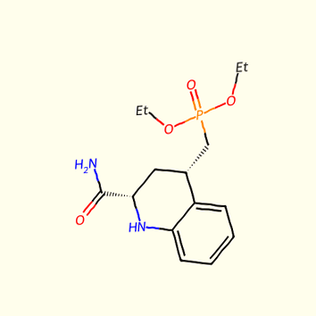 CCOP(=O)(C[C@H]1C[C@@H](C(N)=O)Nc2ccccc21)OCC